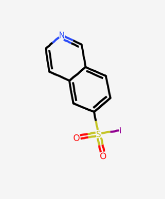 O=S(=O)(I)c1ccc2cnccc2c1